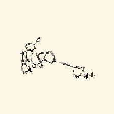 Nc1ccc(C#Cc2ccc3c(c2)C(=O)N(C(C(=O)Nc2nccs2)c2cc(Cl)ccc2O)C3)cn1